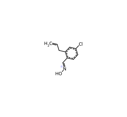 C=CCc1cc(Cl)ccc1/C=N/O